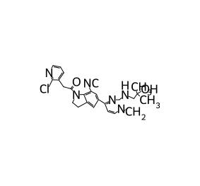 C=N/C=C\C(=N/CNCC(C)(C)O)c1cc(C#N)c2c(c1)CCN2C(=O)Cc1cccnc1Cl